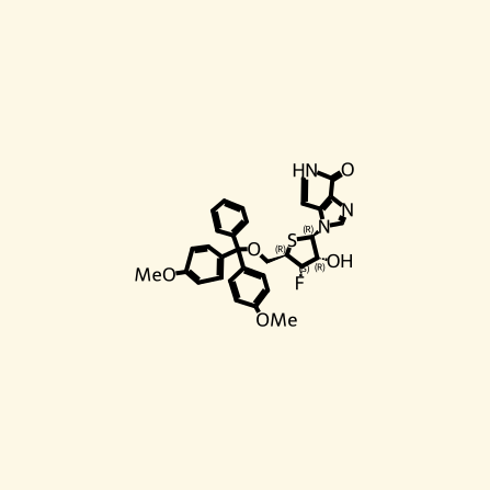 COc1ccc(C(OC[C@H]2S[C@@H](n3cnc4c(=O)[nH]ccc43)[C@H](O)[C@@H]2F)(c2ccccc2)c2ccc(OC)cc2)cc1